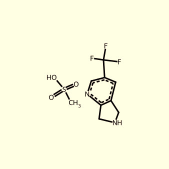 CS(=O)(=O)O.FC(F)(F)c1cnc2c(c1)CNC2